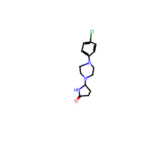 O=C1CCC(N2CCN(c3ccc(Cl)cc3)CC2)N1